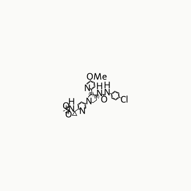 COc1ccc([C@@H]2CN(c3ccc(C4(NS(C)(=O)=O)CC4)nc3)CC[C@H]2NC(=O)Nc2ccc(Cl)cc2)nc1